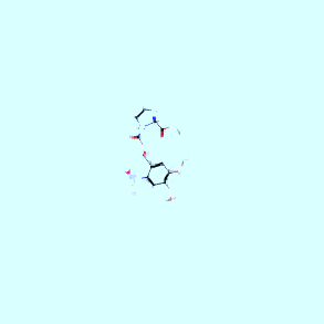 COC(=O)c1nccn1C(=O)OCc1cc(OC)c(OC)cc1[N+](=O)[O-]